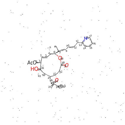 CC(=O)O[C@H]1/C=C/[C@H](C)[C@@H](/C(C)=C/C=C/Cc2ccccn2)OC(=O)C[C@H](O[Si](C)(C)C(C)(C)C)CC[C@@]1(C)O